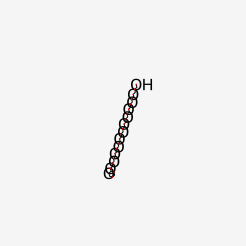 OCCCOCCOCCOCCOCCOCCOCCOCCOCCOCCOCCOC1CCCCO1